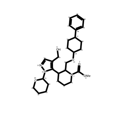 COC(=O)N1CCCC(c2c(CO)cnn2C2CCCCO2)C1COC1CCC(c2ccccc2)CC1